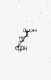 O=C(O)CNCO[PH](=O)O